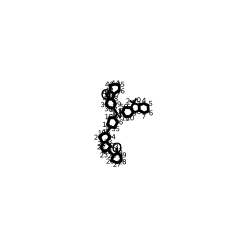 CC1(C)c2ccccc2-c2ccc(N(c3ccc(-c4ccc5ccc6c7ccccc7oc6c5c4)cc3)c3ccc4oc5ccccc5c4c3)cc21